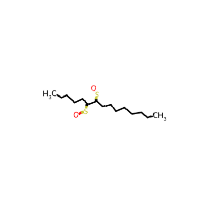 CCCCCCCCC(=S=O)C(CCCCC)=S=O